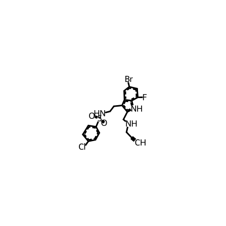 C#CCNCc1[nH]c2c(F)cc(Br)cc2c1CCNS(=O)(=O)c1ccc(Cl)cc1